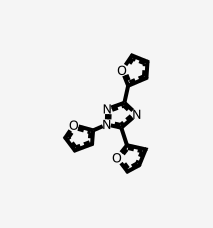 c1coc(-c2nc(-c3ccco3)n(-c3ccco3)n2)c1